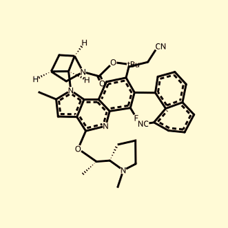 Cc1cc2c(O[C@@H](C)[C@@H]3CCCN3C)nc3c(F)c(-c4cccc5cccc(C#N)c45)c(CCC#N)cc3c2n1[C@H]1[C@@H]2C[C@H]1N(C(=O)OC(C)(C)C)C2